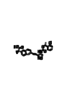 CC(OC(=O)Nc1conc1C#Cc1ccc2cc(C3(C(=O)O)CC3)ccc2c1)c1ccccc1Cl